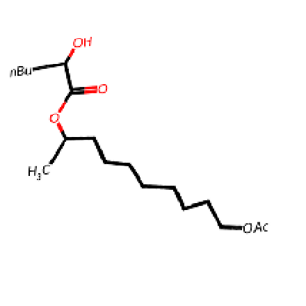 CCCCC(O)C(=O)OC(C)CCCCCCCCOC(C)=O